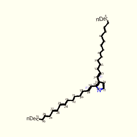 CCCCCCCCCCCCCCCCCCCCCC/C=C/C1=C(/C=C/CCCCCCCCCCCCCCCCCCCCCC)[N]C=C1